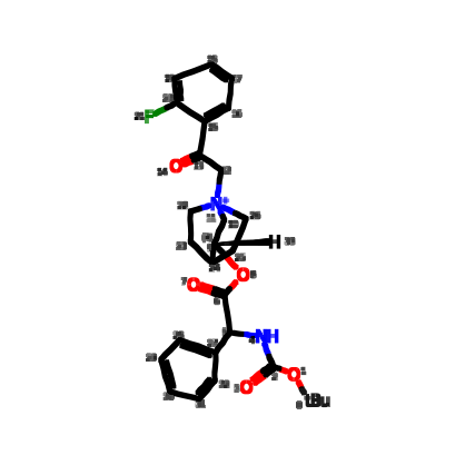 CC(C)(C)OC(=O)NC(C(=O)O[C@H]1C[N+]2(CC(=O)c3ccccc3F)CCC1CC2)c1ccccc1